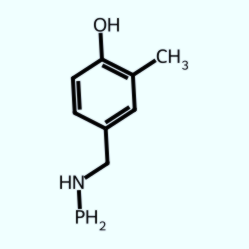 Cc1cc(CNP)ccc1O